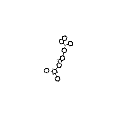 c1ccc(-c2nc(-c3ccccc3)nc(-c3ccc4c(c3)oc3cc(-c5ccc(N(c6ccccc6)c6cccc7ccccc67)cc5)ccc34)n2)cc1